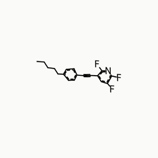 CCCCCc1ccc(C#Cc2cc(F)c(F)nc2F)cc1